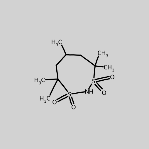 CC1CC(C)(C)S(=O)(=O)NS(=O)(=O)C(C)(C)C1